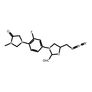 CN1CN(c2ccc(N3CC(CN=[N+]=[N-])OC3C=O)cc2F)CC1=O